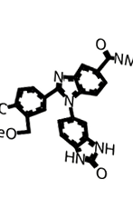 CNC(=O)c1ccc2c(c1)nc(-c1ccc(C)c(COC)c1)n2-c1ccc2[nH]c(=O)[nH]c2c1